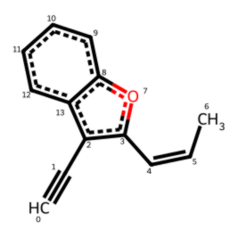 C#Cc1c(/C=C\C)oc2ccccc12